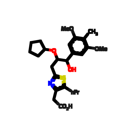 CCCc1sc(CC(OC2CCCC2)C(O)c2cc(OC)c(C)c(OC)c2)nc1CC(=O)O